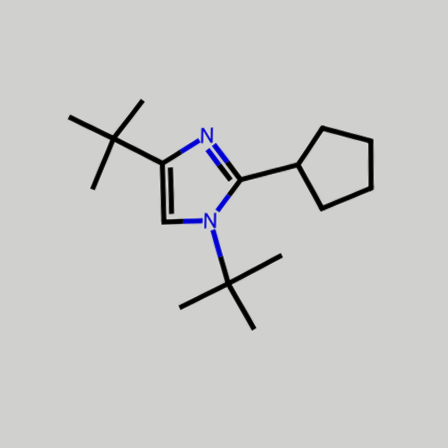 CC(C)(C)c1cn(C(C)(C)C)c(C2CCCC2)n1